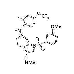 CNCc1cn(S(=O)(=O)c2cccc(OC)c2)c2cc(Nc3ccc(OC(F)(F)F)cc3C)ccc12